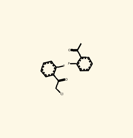 CC(=O)c1ccccc1F.O=C(CCl)c1ccccc1F